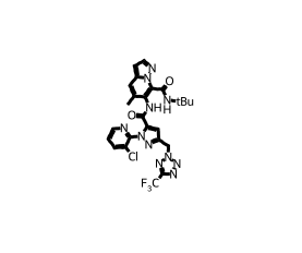 Cc1cc2ccnn2c(C(=O)NC(C)(C)C)c1NC(=O)c1cc(Cn2nnc(C(F)(F)F)n2)nn1-c1ncccc1Cl